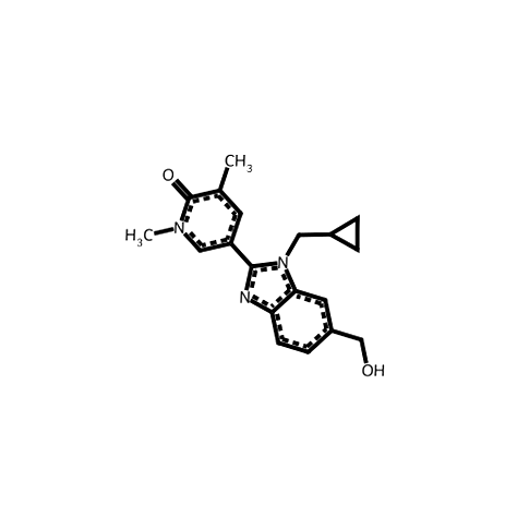 Cc1cc(-c2nc3ccc(CO)cc3n2CC2CC2)cn(C)c1=O